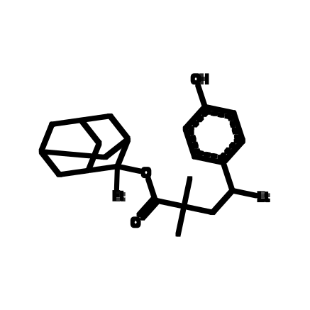 CCC(CC(C)(C)C(=O)OC1(CC)C2CC3CC(C2)CC1C3)c1ccc(O)cc1